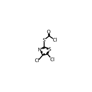 O=C(Cl)Sc1nc(Cl)c(Cl)s1